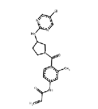 C=CC(=O)Nc1ccc(C(=O)N2CCC(Nc3ncc(Cl)cn3)C2)c(C)c1